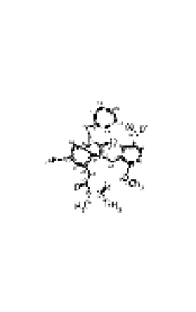 COc1ccc([N+](=O)[O-])cc1Cn1c(=O)n(Cc2ccccc2)c2cc(F)cc(CC(=O)N(C)C(N)=O)c21